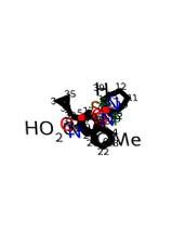 COc1cc(C(=O)O)cc2sc(N3C4CC[C@H]3CC(OCc3c(-c5ccccc5OC(F)F)noc3C3CC3)C4)nc12